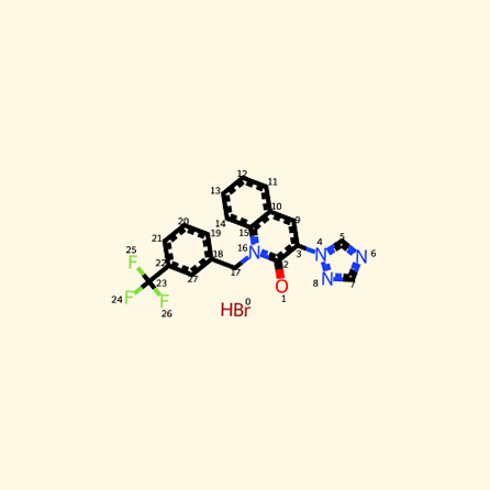 Br.O=c1c(-n2cncn2)cc2ccccc2n1Cc1cccc(C(F)(F)F)c1